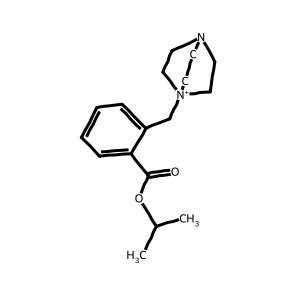 CC(C)OC(=O)c1ccccc1C[N+]12CCN(CC1)CC2